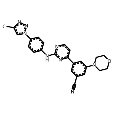 N#Cc1cc(-c2ccnc(Nc3ccc(-n4cc(Cl)nn4)cc3)n2)cc(N2CCOCC2)c1